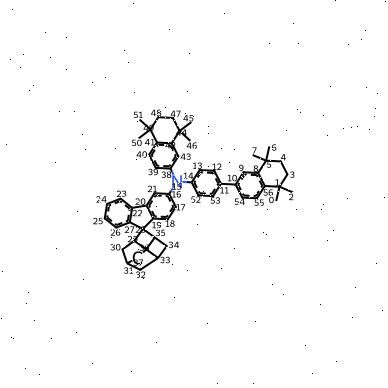 CC1(C)CCC(C)(C)c2cc(-c3ccc(N(c4ccc5c(c4)-c4ccccc4C54C5CC6CC7CC4C75C6)c4ccc5c(c4)C(C)(C)CCC5(C)C)cc3)ccc21